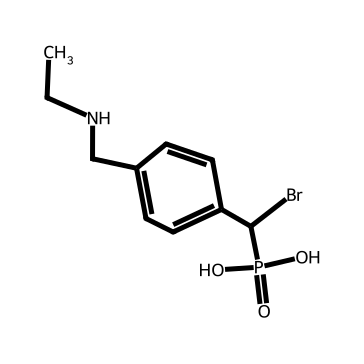 CCNCc1ccc(C(Br)P(=O)(O)O)cc1